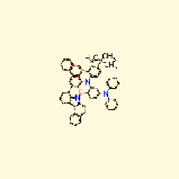 CC(C)(C)c1ccc(N2c3cc(N(c4ccccc4)c4ccccc4)ccc3B3c4c(cc(-c5ccccc5)cc42)-c2cccc4c5c6ccccc6ccc5n3c24)c(-c2ccccc2)c1